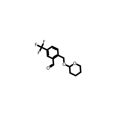 O=Cc1cc(C(F)(F)F)ccc1COC1CCCCO1